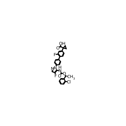 C[C@@H](OC(=O)Nc1c(F)cnn1-c1ccc(-c2ccc(C3(C(=O)O)CC3)cc2F)cc1)c1ccccc1Cl